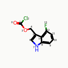 O=C(Cl)OCc1c[nH]c2cccc(F)c12